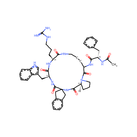 CC(=O)N[C@@H](Cc1ccccc1)C(=O)NC1CCCNC(=O)[C@H](CCCNC(=N)N)NC(=O)[C@H](Cc2c[nH]c3ccccc23)NC(=O)C2(Cc3ccccc3C2)NC(=O)[C@@H]2CCCN2C1=O